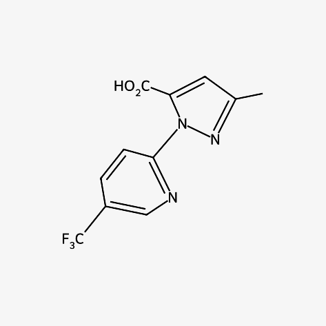 Cc1cc(C(=O)O)n(-c2ccc(C(F)(F)F)cn2)n1